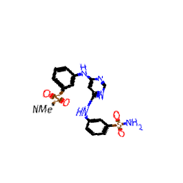 CNS(=O)(=O)c1cccc(Nc2cc(Nc3cccc(S(N)(=O)=O)c3)ncn2)c1